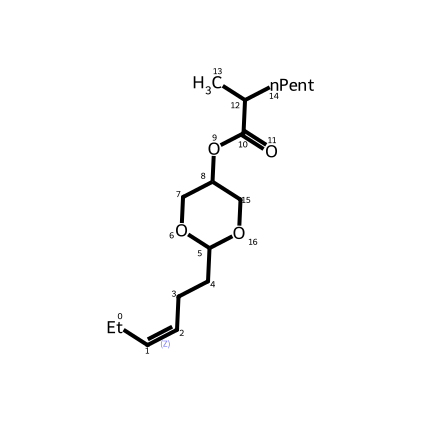 CC/C=C\CCC1OCC(OC(=O)C(C)CCCCC)CO1